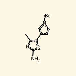 CCC(C)n1cc(-c2sc(N)nc2C)cn1